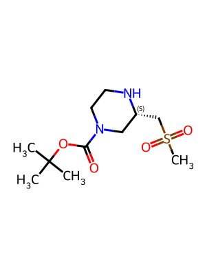 CC(C)(C)OC(=O)N1CCN[C@H](CS(C)(=O)=O)C1